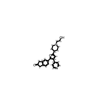 O=C1Cc2ccc(-c3oc(C4CCN(CCO)CC4)cc3-c3ccncc3)cc2C1